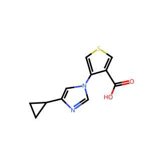 O=C(O)c1cscc1-n1cnc(C2CC2)c1